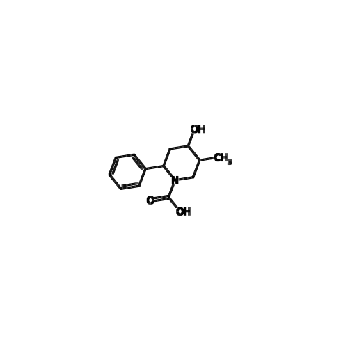 CC1CN(C(=O)O)C(c2ccccc2)CC1O